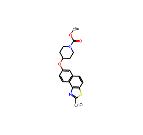 CC(C)(C)OC(=O)N1CCC(Oc2ccc3c(ccc4sc(C=O)nc43)c2)CC1